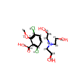 COc1c(Cl)ccc(Cl)c1C(=O)O.OCCN(CCO)CCO